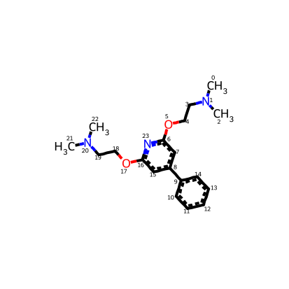 CN(C)CCOc1cc(-c2ccccc2)cc(OCCN(C)C)n1